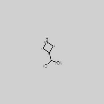 [O]C(O)C1CNC1